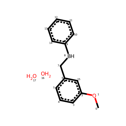 COc1cccc(CBc2ccccc2)c1.O.O